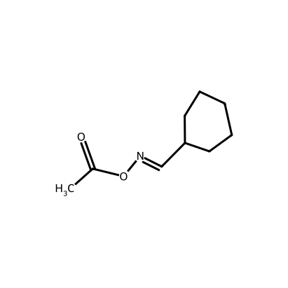 CC(=O)ON=CC1CCCCC1